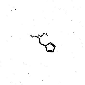 C[SiH](C)CC1C=CC=C1